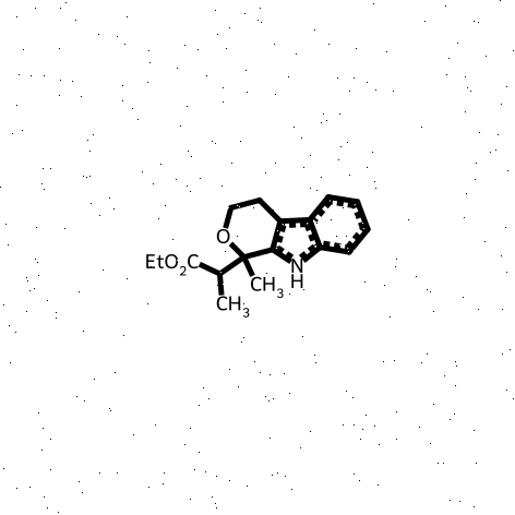 CCOC(=O)C(C)C1(C)OCCc2c1[nH]c1ccccc21